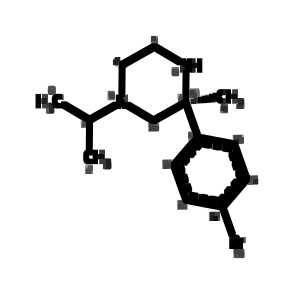 CC(C)N1CCN[C@@](C)(c2ccc(Br)cc2)C1